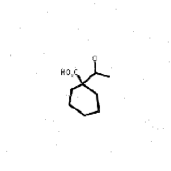 CC(Cl)C1(C(=O)O)CCCCC1